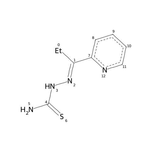 CCC(=NNC(N)=S)c1ccccn1